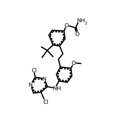 COc1ccc(Nc2nc(Cl)ncc2Cl)cc1CCc1cc(OC(N)=O)ccc1C(C)(C)C